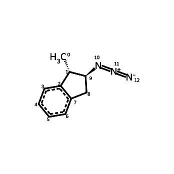 C[C@H]1c2ccccc2C[C@@H]1N=[N+]=[N-]